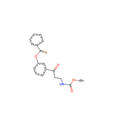 CC(C)(C)OC(=O)NCCC(=O)c1cccc(OC(=S)c2ccccc2)c1